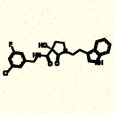 O=C(NCc1cc(F)cc(Cl)c1)[C@@]1(O)CCN(CCc2c[nH]c3ccccc23)C1=O